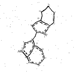 C1=Cc2[nH]c(-c3c[nH]c4ncccc34)cc2CC1